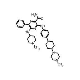 CN1CCC(Nc2nc(Nc3ccc(N4CCC(N5CCN(C)CC5)CC4)cc3)c(C(N)=O)nc2-c2ccccc2)CC1